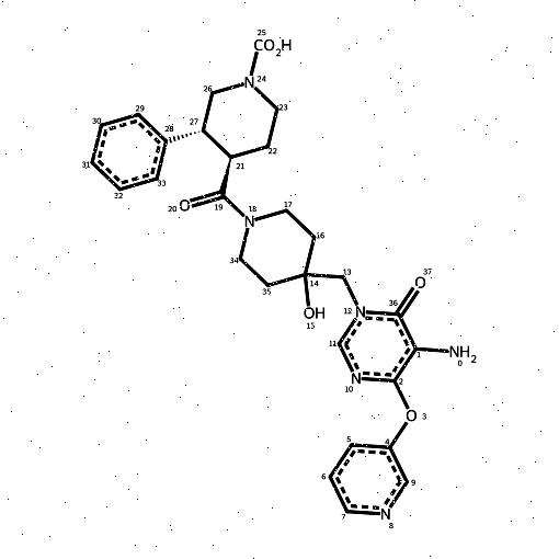 Nc1c(Oc2cccnc2)ncn(CC2(O)CCN(C(=O)[C@@H]3CCN(C(=O)O)C[C@H]3c3ccccc3)CC2)c1=O